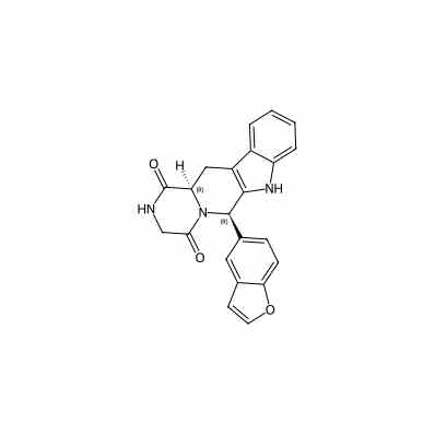 O=C1NCC(=O)N2[C@H](c3ccc4occc4c3)c3[nH]c4ccccc4c3C[C@H]12